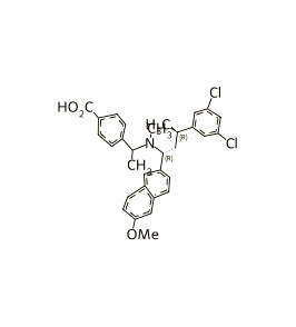 COc1ccc2cc([C@@H](C[C@@H](C)c3cc(Cl)cc(Cl)c3)N(C)C(C)c3ccc(C(=O)O)cc3)ccc2c1